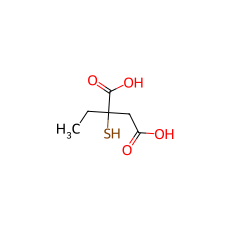 CCC(S)(CC(=O)O)C(=O)O